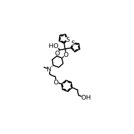 CN(CCOc1ccc(CCO)cc1)[C@H]1CC[C@H](OC(C(=O)O)(c2cccs2)c2cccs2)CC1